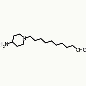 NC1CCN(CCCCCCCCCC=O)CC1